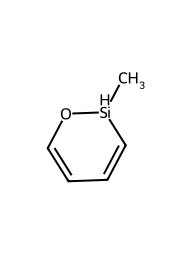 C[SiH]1C=CC=CO1